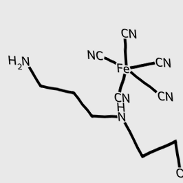 N#[C][Fe]([C]#N)([C]#N)([C]#N)[C]#N.NCCCNCCO